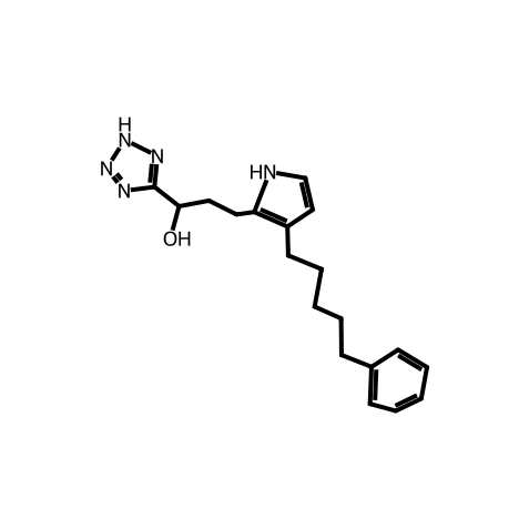 OC(CCc1[nH]ccc1CCCCCc1ccccc1)c1nn[nH]n1